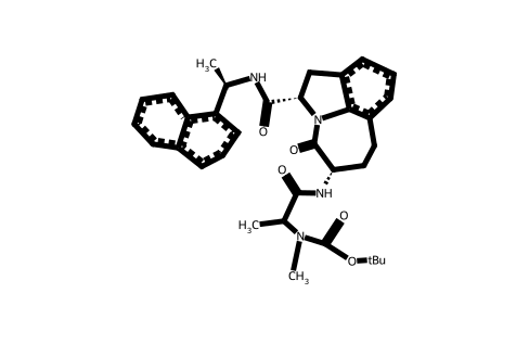 CC(C(=O)N[C@H]1CCc2cccc3c2N(C1=O)[C@H](C(=O)N[C@H](C)c1cccc2ccccc12)C3)N(C)C(=O)OC(C)(C)C